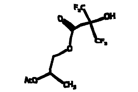 CC(=O)OC(C)COC(=O)C(O)(C(F)(F)F)C(F)(F)F